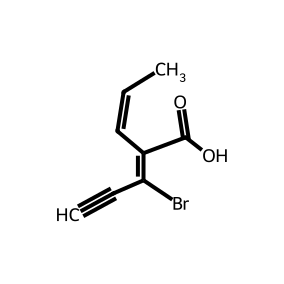 C#C/C(Br)=C(\C=C/C)C(=O)O